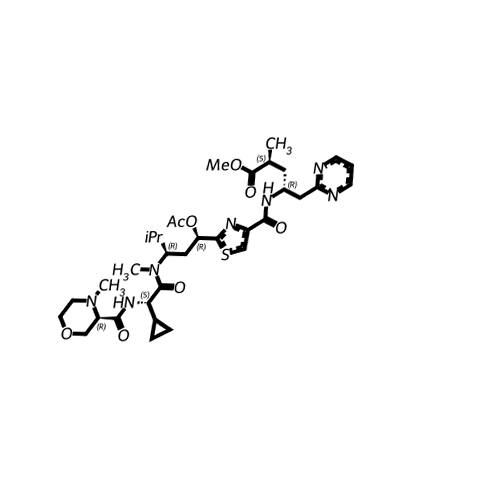 COC(=O)[C@@H](C)C[C@H](Cc1ncccn1)NC(=O)c1csc([C@@H](C[C@H](C(C)C)N(C)C(=O)[C@@H](NC(=O)[C@H]2COCCN2C)C2CC2)OC(C)=O)n1